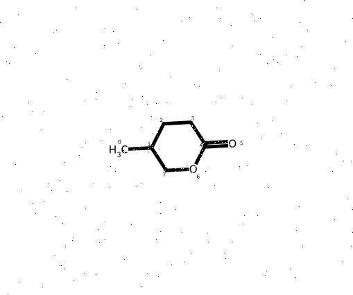 CC1CCC(=O)OC1